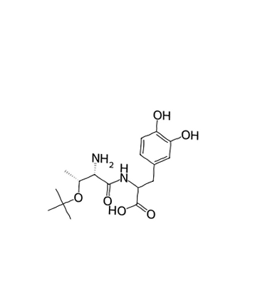 C[C@@H](OC(C)(C)C)[C@H](N)C(=O)NC(Cc1ccc(O)c(O)c1)C(=O)O